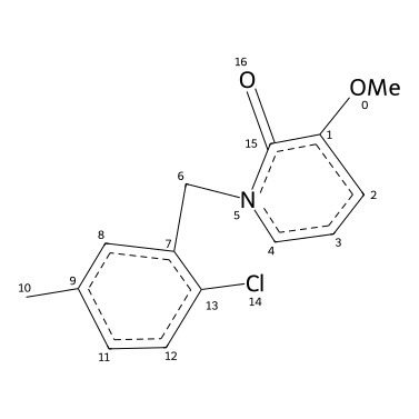 COc1cccn(Cc2cc(C)ccc2Cl)c1=O